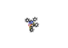 O=P1(c2nc(-c3ccccc3)cc(-c3ccccc3)n2)c2sc3c(c2-c2c1sc1ccccc21)C=CCC3